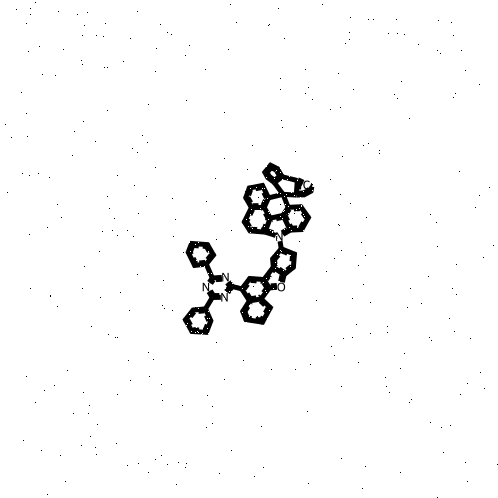 c1ccc(-c2nc(-c3ccccc3)nc(-c3cc4c5cc(-n6c7cccc8c7c7c9c(cccc9ccc76)C86c7ccccc7-c7ccccc76)ccc5oc4c4ccccc34)n2)cc1